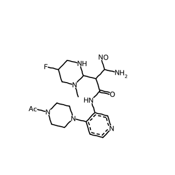 CC(=O)N1CCN(c2ccncc2NC(=O)C(C(N)N=O)C2NCC(F)CN2C)CC1